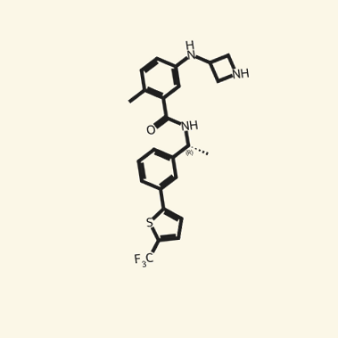 Cc1ccc(NC2CNC2)cc1C(=O)N[C@H](C)c1cccc(-c2ccc(C(F)(F)F)s2)c1